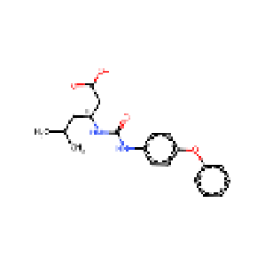 CC(C)C[C@@H](CC(=O)O)NC(=O)Nc1ccc(Oc2ccccc2)cc1